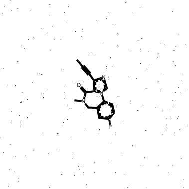 CC#Cc1ncn2c1C(=O)N(C)Cc1cc(F)ccc1-2